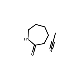 CC#N.O=C1CCCCCN1